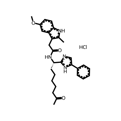 COc1ccc2[nH]c(C)c(CC(=O)N[C@@H](CCCCCC(C)=O)c3ncc(-c4ccccc4)[nH]3)c2c1.Cl